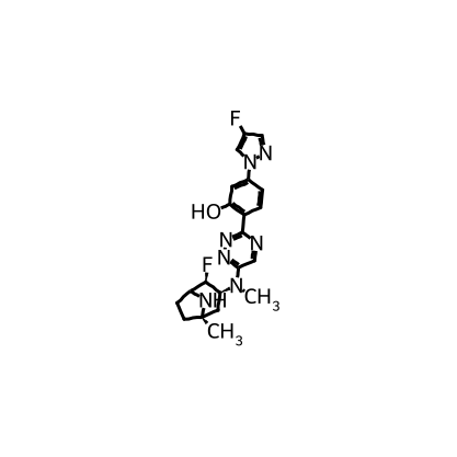 CN(c1cnc(-c2ccc(-n3cc(F)cn3)cc2O)nn1)[C@H]1C[C@]2(C)CCC(N2)[C@H]1F